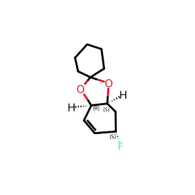 F[C@@H]1C=C[C@H]2OC3(CCCCC3)O[C@H]2C1